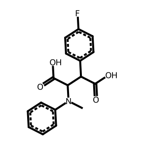 CN(c1ccccc1)C(C(=O)O)C(C(=O)O)c1ccc(F)cc1